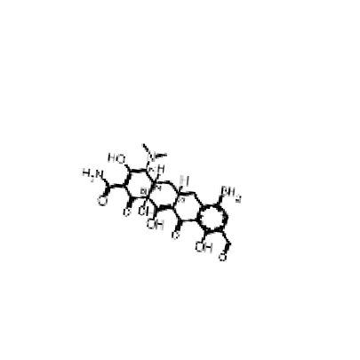 Bc1cc(C=O)c(O)c2c1C[C@H]1C[C@H]3[C@H](N(C)C)C(O)=C(C(N)=O)C(=O)[C@@]3(O)C(O)=C1C2=O